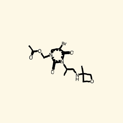 CC(=O)OCn1cc(Br)c(=O)n(C(C)CNC2(C)COC2)c1=O